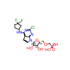 O=P(O)(O)COC[C@H]1O[C@@H](n2ccc3c(NC4CCC(F)(F)C4)nc(Cl)nc32)[C@H](O)[C@@H]1O